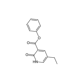 CCc1c[nH]c(=O)c(C(=O)Oc2ccccc2)c1